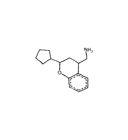 NCC1CC(C2CCCC2)Oc2ccccc21